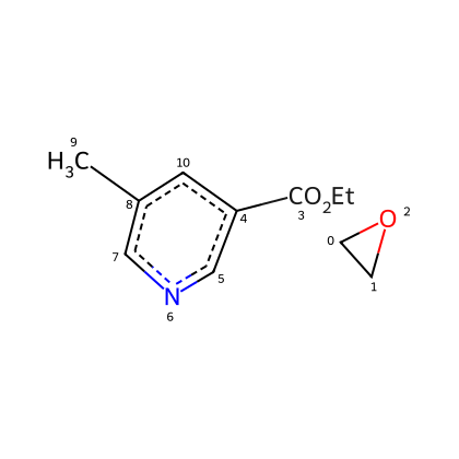 C1CO1.CCOC(=O)c1cncc(C)c1